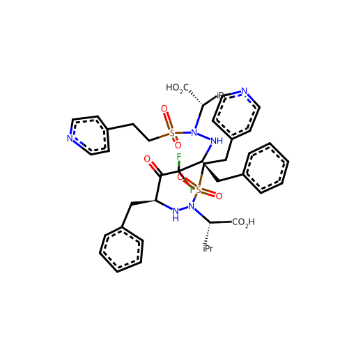 CC(C)[C@@H](C(=O)O)N(N[C@@H](Cc1ccccc1)C(=O)C(F)(F)[C@H](Cc1ccccc1)NN([C@H](C(=O)O)C(C)C)S(=O)(=O)CCc1ccncc1)S(=O)(=O)CCc1ccncc1